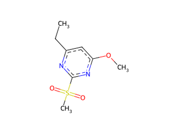 CCc1cc(OC)nc(S(C)(=O)=O)n1